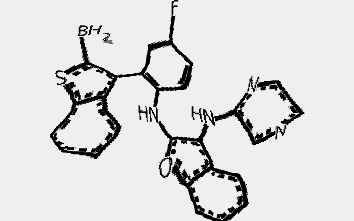 Bc1sc2ccccc2c1C1=C(Nc2oc3ccccc3c2Nc2cnccn2)C=CC(F)C1